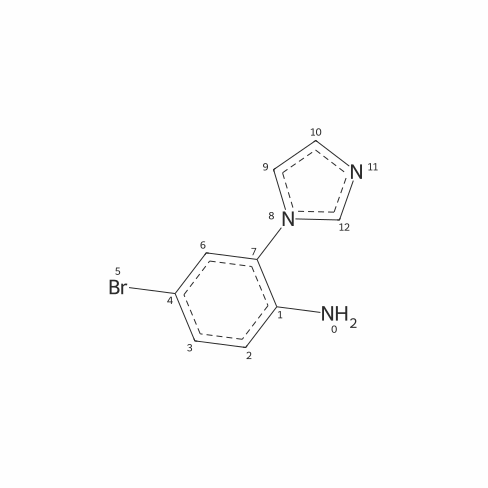 Nc1ccc(Br)cc1-n1ccnc1